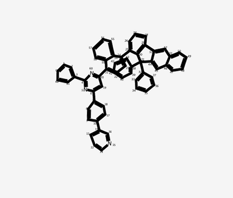 c1ccc(-c2nc(-c3ccc(-c4cccnc4)cc3)cc(-c3ccc(-c4cccc5c4C(c4ccccc4)(c4ccccc4)c4cc6ccccc6cc4-5)c4ccccc34)n2)cc1